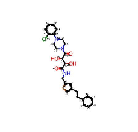 O=C(NCc1cc(CCc2ccccc2)cs1)[C@H](O)[C@@H](O)C(=O)N1CCN(c2ccccc2Cl)CC1